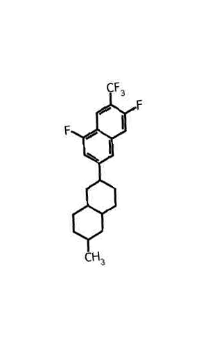 CC1CCC2CC(c3cc(F)c4cc(C(F)(F)F)c(F)cc4c3)CCC2C1